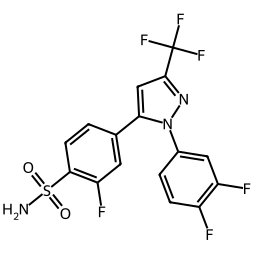 NS(=O)(=O)c1ccc(-c2cc(C(F)(F)F)nn2-c2ccc(F)c(F)c2)cc1F